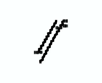 CCCCCCCCCCCCCCCCCCCC(=O)O.CCCCCCCCCCCCCCCCCCCCCC(=O)OCC(O)CO